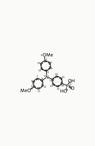 COc1ccc(N(c2ccc(OC)cc2)c2ccc(P(=O)(O)O)cc2)cc1